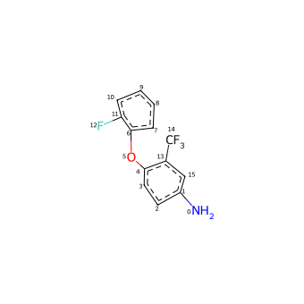 Nc1ccc(Oc2ccccc2F)c(C(F)(F)F)c1